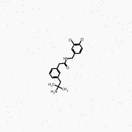 CC(C)(N)Cc1cccc(CC(=O)NCc2ccc(Cl)c(Cl)c2)c1